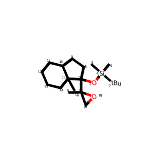 CC1(C2(O[Si](C)(C)C(C)(C)C)CCC3CCCCC32C)CO1